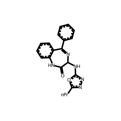 CCCc1nnc(NC2N=C(c3ccccc3)c3ccccc3NC2=O)o1